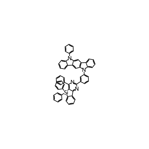 c1ccc(-c2nc(-c3cccc(-n4c5ccccc5c5cc6c(cc54)c4ccccc4n6-c4ccccc4)c3)nc3c2[Si](c2ccccc2)(c2ccccc2)c2ccccc2-3)cc1